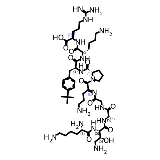 C[C@H](NC(=O)[C@@H](NC(=O)[C@@H](N)CCCCN)[C@@H](O)CN)C(=O)NCC(=O)/N=C(\CCCN)C(=O)N1CCC[C@H]1C(=O)N[C@@H](Cc1ccc(C(C)(C)C)cc1)C(=O)N[C@@H](CCCCN)C(=O)N/C(=C\CCNC(=N)N)C(=O)O